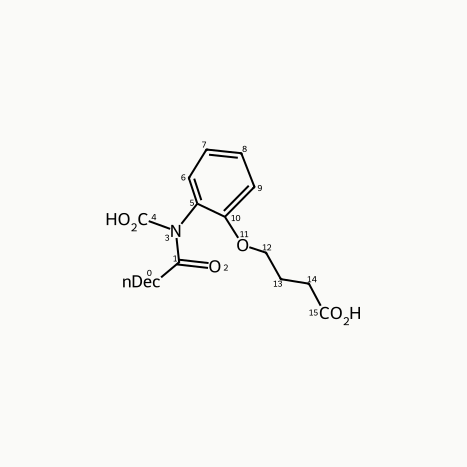 CCCCCCCCCCC(=O)N(C(=O)O)c1ccccc1OCCCC(=O)O